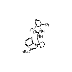 CCCCc1cn(C2(CNC(=O)Nc3c(C(C)C)cccc3C(C)C)CCCC2)c2ncccc12